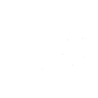 CCCCOc1nc(N)c2nc(OC)n(CC3CCN(C(=O)OCC(C)C)CC3)c2n1